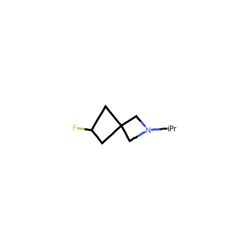 CC(C)N1CC2(CC(F)C2)C1